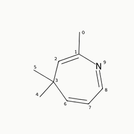 CC1=CC(C)(C)C=CC=N1